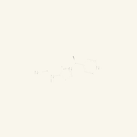 C[C@@H](c1ccncc1)n1ccc(NCC#N)n1